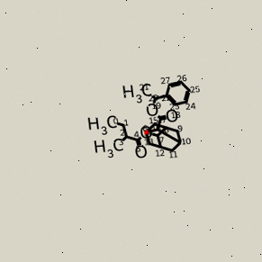 CCC(C)C(=O)OC1C2CC3CC1CC(C2)C3C(=O)OC(C)c1ccccc1